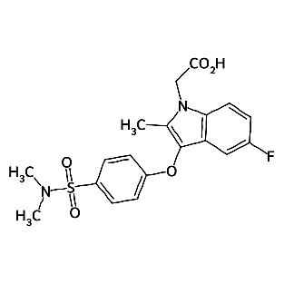 Cc1c(Oc2ccc(S(=O)(=O)N(C)C)cc2)c2cc(F)ccc2n1CC(=O)O